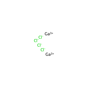 [Cl-].[Cl-].[Cl-].[Cl-].[Ga+3].[Ga+3]